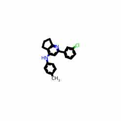 Cc1ccc(Nc2cc(-c3cccc(Cl)c3)nc3c2CCC3)cc1